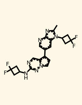 Cc1nc2ncc(-c3ccn4nc(NC5CC(F)(F)C5)ncc34)cc2n1C1CC(F)(F)C1